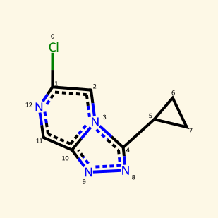 Clc1cn2c(C3CC3)nnc2cn1